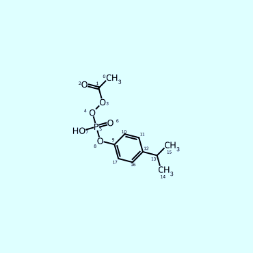 CC(=O)OOP(=O)(O)Oc1ccc(C(C)C)cc1